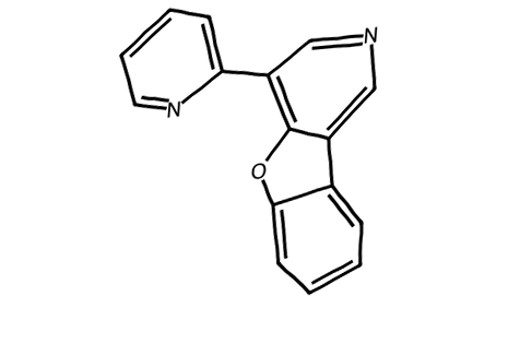 c1ccc(-c2cncc3c2oc2ccccc23)nc1